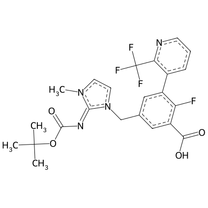 Cn1ccn(Cc2cc(C(=O)O)c(F)c(-c3cccnc3C(F)(F)F)c2)c1=NC(=O)OC(C)(C)C